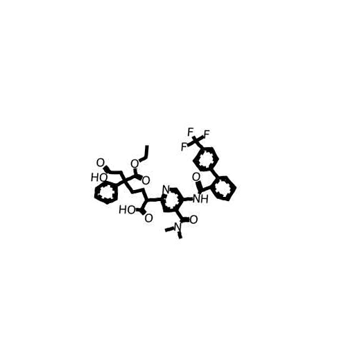 CCOC(=O)C(CCC(C(=O)O)c1cc(C(=O)N(C)C)c(NC(=O)c2ccccc2-c2ccc(C(F)(F)F)cc2)cn1)(CC(=O)O)c1ccccc1